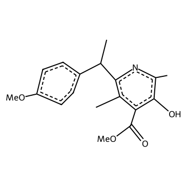 COC(=O)c1c(C)c(C(C)c2ccc(OC)cc2)nc(C)c1O